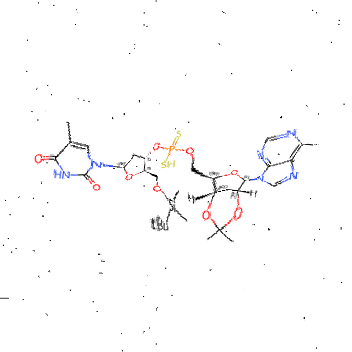 Cc1cn([C@H]2C[C@H](OP(=S)(S)OC[C@H]3O[C@@H](n4cnc5c(C)ncnc54)[C@@H]4OC(C)(C)O[C@@H]43)[C@@H](CO[Si](C)(C)C(C)(C)C)O2)c(=O)[nH]c1=O